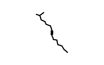 CCCCCCC#CCCCCC(C)C